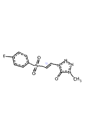 Cn1nnn(/C=C/S(=O)(=O)c2ccc(F)cc2)c1=O